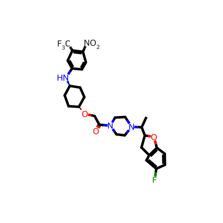 CC(C1Cc2cc(F)ccc2O1)N1CCN(C(=O)CO[C@H]2CC[C@H](Nc3ccc([N+](=O)[O-])c(C(F)(F)F)c3)CC2)CC1